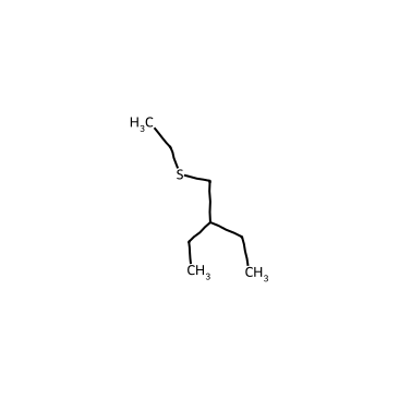 CCSCC(CC)CC